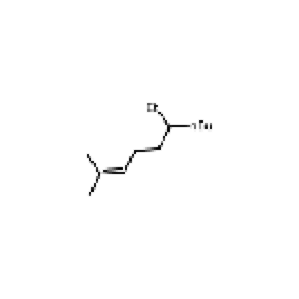 CCCCC(CC)CCC=C(C)C